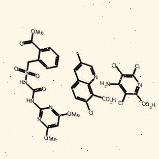 COC(=O)c1ccccc1CS(=O)(=O)NC(=O)Nc1nc(OC)cc(OC)n1.Cc1cnc2c(C(=O)O)c(Cl)ccc2c1.Nc1c(Cl)c(Cl)nc(C(=O)O)c1Cl